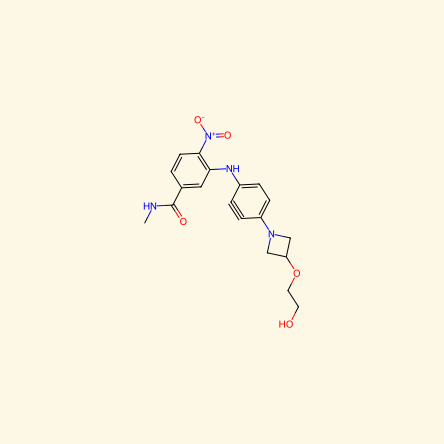 CNC(=O)c1ccc([N+](=O)[O-])c(Nc2c#cc(N3CC(OCCO)C3)cc2)c1